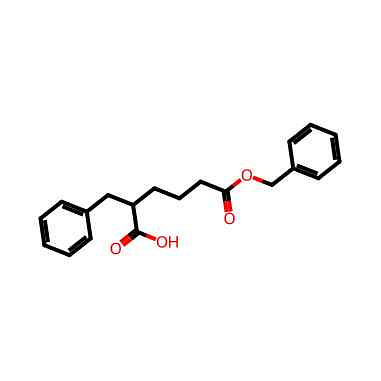 O=C(CCCC(Cc1ccccc1)C(=O)O)OCc1ccccc1